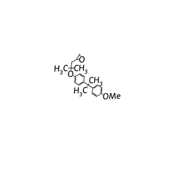 COc1ccc(C(C)(C)c2ccc(OC(C)(C)CC3CO3)cc2)cc1